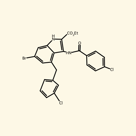 CCOC(=O)c1[nH]c2cc(Br)cc(Cc3cccc(Cl)c3)c2c1NC(=O)c1ccc(Cl)cc1